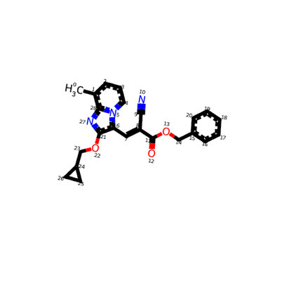 Cc1cccn2c(C=C(C#N)C(=O)OCc3ccccc3)c(OCC3CC3)nc12